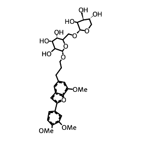 COc1ccc(-c2cc3cc(CCCO[C@@H]4OC(CO[C@@H]5OC[C@@H](O)[C@H](O)C5O)[C@@H](O)[C@H](O)C4O)cc(OC)c3o2)cc1OC